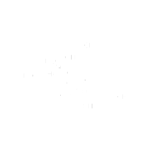 CCCCOC(CC)C(OCCCC)(OCCCC)OO[Si](O)(O)O